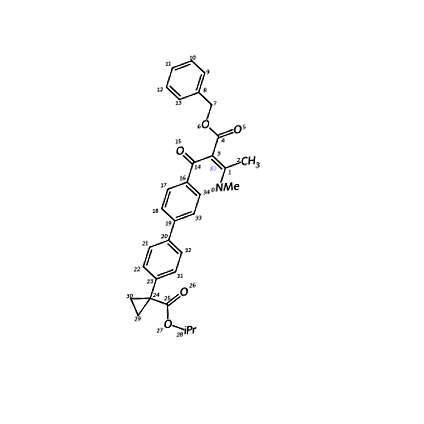 CN/C(C)=C(/C(=O)OCc1ccccc1)C(=O)c1ccc(-c2ccc(C3(C(=O)OC(C)C)CC3)cc2)cc1